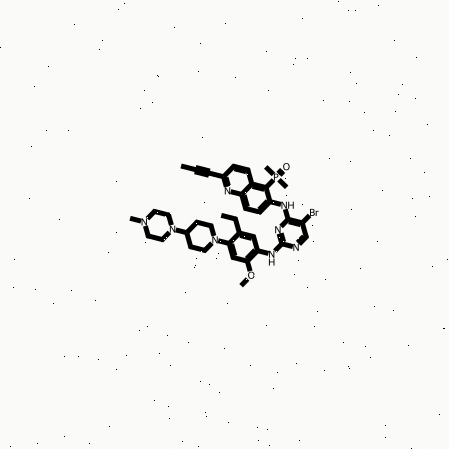 CC#Cc1ccc2c(P(C)(C)=O)c(Nc3nc(Nc4cc(CC)c(N5CCC(N6CCN(C)CC6)CC5)cc4OC)ncc3Br)ccc2n1